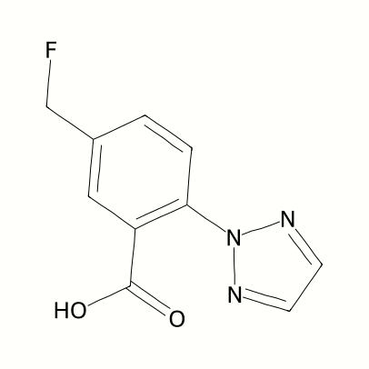 O=C(O)c1cc(CF)ccc1-n1nccn1